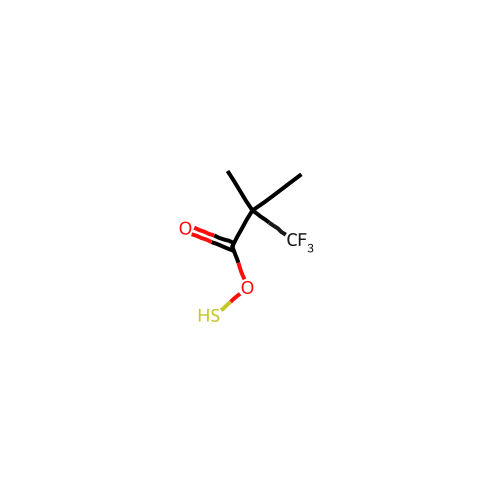 CC(C)(C(=O)OS)C(F)(F)F